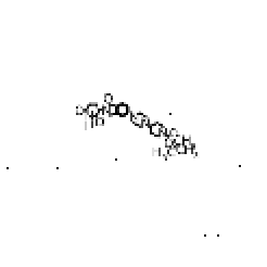 CC(C)(C)OC(=O)N1CCC(N2CCN(c3ccc4c(c3)CN(C3CCC(=O)NC3=O)C4=O)CC2)CC1